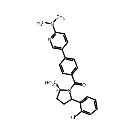 CN(C)c1ccc(-c2ccc(C(=O)N3C(c4ccccc4Cl)CC[C@H]3C(=O)O)cc2)cn1